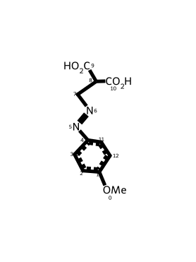 COc1ccc(/N=N/CC(C(=O)O)C(=O)O)cc1